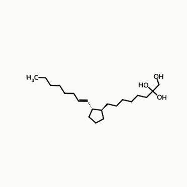 CCCCCCC=C[C@H]1CCC[C@@H]1CCCCCCC(O)(O)CO